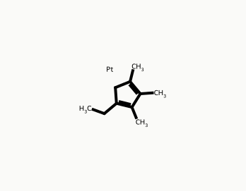 CCC1=C(C)C(C)=C(C)C1.[Pt]